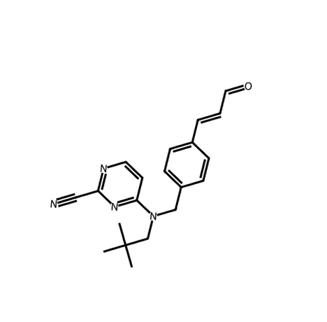 CC(C)(C)CN(Cc1ccc(/C=C/C=O)cc1)c1ccnc(C#N)n1